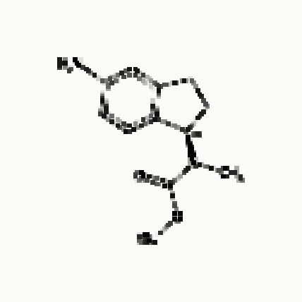 CN(C(=O)OC(C)(C)C)[C@@H]1CCc2cc(N)ccc21